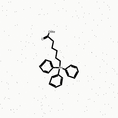 COC(=O)CCCCC[PH](c1ccccc1)(c1ccccc1)c1ccccc1